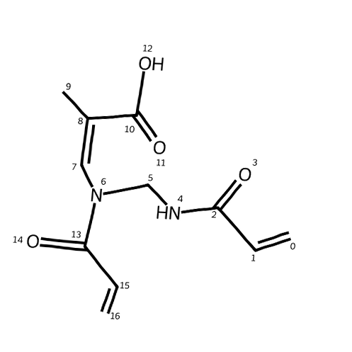 C=CC(=O)NCN(C=C(C)C(=O)O)C(=O)C=C